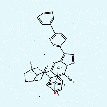 CS(=O)(=O)c1c(C2CC3CC[C@@H](C2)N3C(=O)c2ncccc2O)nc2c(-c3ccc(-c4ccccc4)nc3)cnn2c1N